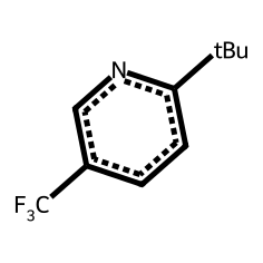 CC(C)(C)c1ccc(C(F)(F)F)cn1